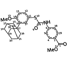 COC(=O)c1ccc(NC(=O)Sc2ccc(OC)c(C34CC5CC(CC(C5)C3)C4)c2)cc1